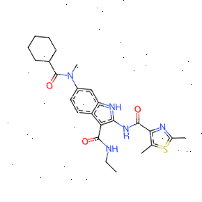 CCNC(=O)c1c(NC(=O)c2nc(C)sc2C)[nH]c2cc(N(C)C(=O)C3CCCCC3)ccc12